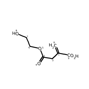 C=C(CC(=O)OCCO)C(=O)O